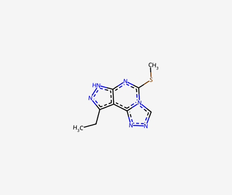 CCc1n[nH]c2nc(SC)n3cnnc3c12